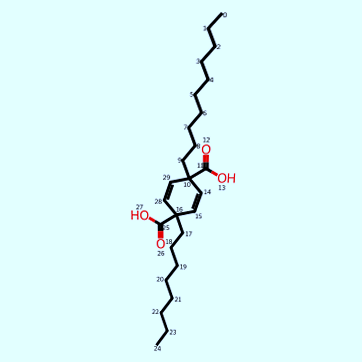 CCCCCCCCCCC1(C(=O)O)C=CC(CCCCCCCC)(C(=O)O)C=C1